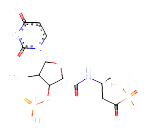 COC1C(O[PH](O)=S)[C@@H](C(=O)N[C@H](CC(=O)P(=O)(O)O)C(=O)O)O[C@H]1n1ccc(=O)[nH]c1=O